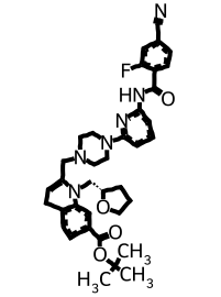 CC(C)(C)OC(=O)c1ccc2c(c1)N(C[C@@H]1CCCO1)C(CN1CCN(c3cccc(NC(=O)c4ccc(C#N)cc4F)n3)CC1)=CC2